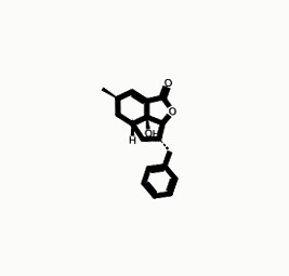 C[C@H]1C=C2C(=O)OC3[C@H](Cc4ccccc4)C[C@H](C1)[C@]23O